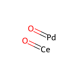 [O]=[Ce].[O]=[Pd]